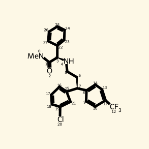 CNC(=O)[C@H](NCC[C@@H](c1ccc(C(F)(F)F)cc1)c1cccc(Cl)c1)c1ccccc1